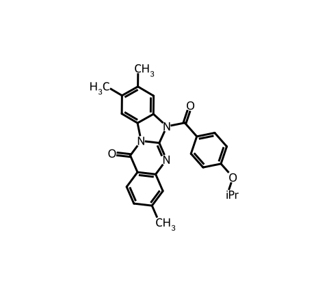 Cc1ccc2c(=O)n3c4cc(C)c(C)cc4n(C(=O)c4ccc(OC(C)C)cc4)c3nc2c1